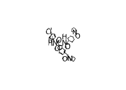 O=C(Nc1ccc(Cl)cn1)c1oc2ccc(CC(=O)N3CCCC3)cc2c1NC(=O)[C@H]1CC[C@H](C(=O)N2CCCC2)CC1